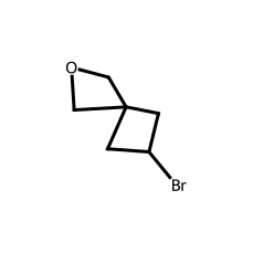 BrC1CC2(COC2)C1